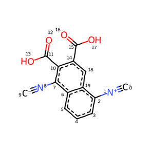 [C-]#[N+]c1cccc2c([N+]#[C-])c(C(=O)O)c(C(=O)O)cc12